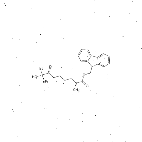 CCCC(O)(CC)C(=O)CCCCN(C)C(=O)OCC1c2ccccc2-c2ccccc21